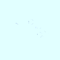 CCC#CCCOc1cccc(CNC(=O)c2ccc(C)nc2N)c1F